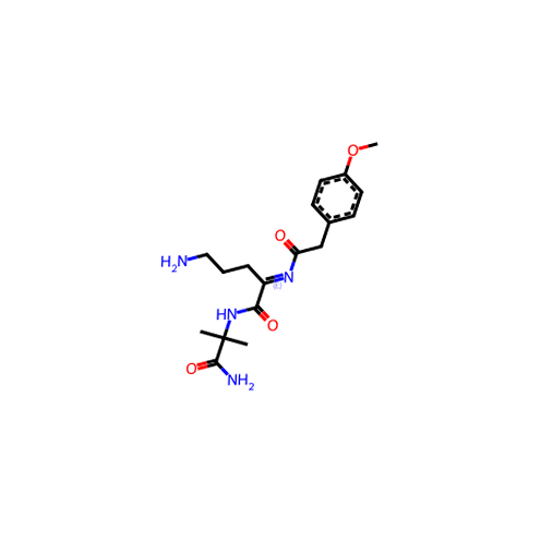 COc1ccc(CC(=O)/N=C(\CCCN)C(=O)NC(C)(C)C(N)=O)cc1